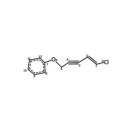 ClC=CC#CCOc1ccccc1